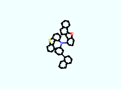 c1cc(-c2cccc3ccccc23)cc(N(c2cccc3oc4c5ccccc5ccc4c23)c2cccc3sc4ccccc4c23)c1